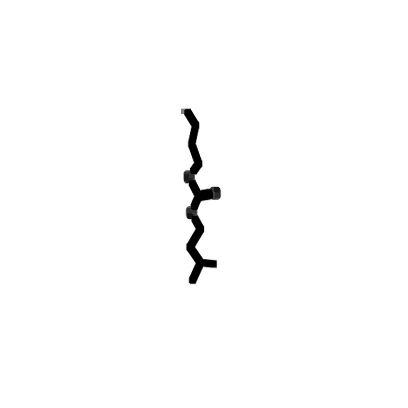 [CH2]CCCOC(=O)OCCC(C)C